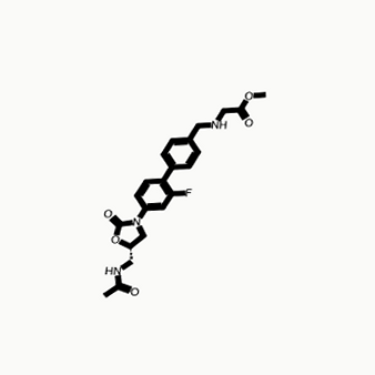 COC(=O)CNCc1ccc(-c2ccc(N3C[C@H](CNC(C)=O)OC3=O)cc2F)cc1